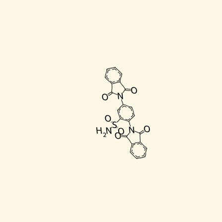 NS(=O)(=O)c1cc(N2C(=O)c3ccccc3C2=O)ccc1N1C(=O)c2ccccc2C1=O